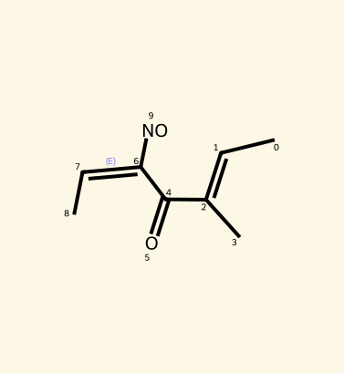 CC=C(C)C(=O)/C(=C\C)N=O